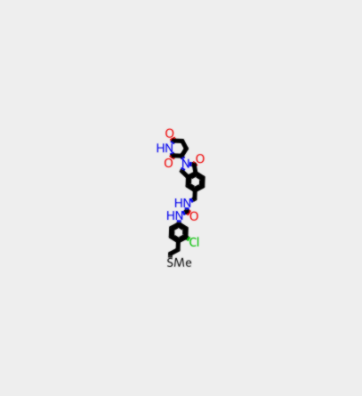 CSCCc1ccc(NC(=O)NCc2ccc3c(c2)CN(C2CCC(=O)NC2=O)C3=O)cc1Cl